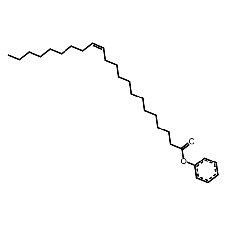 CCCCCCCC/C=C\CCCCCCCCCCCC(=O)Oc1ccccc1